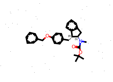 CN(C(=O)OC(C)(C)C)[C@H]1Cc2ccccc2[C@H]1Cc1ccc(OCc2ccccc2)cc1